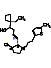 CCC1(C(O)C/C=C/[C@@H]2[C@@H](CCCc3ccc(C)s3)CC[C@H]2Cl)CCC1